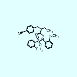 CCN(Cc1ccc(C#N)cc1)C(=O)CN(c1ccccc1OC)S(=O)(=O)c1ccccc1C